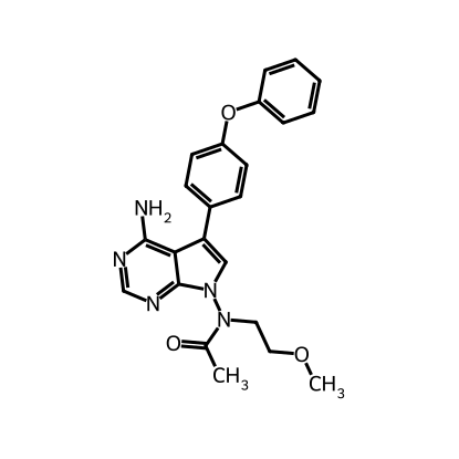 COCCN(C(C)=O)n1cc(-c2ccc(Oc3ccccc3)cc2)c2c(N)ncnc21